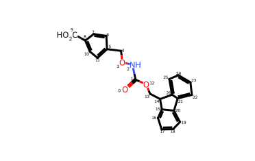 O=C(NOCc1ccc(C(=O)O)cc1)OCC1c2ccccc2-c2ccccc21